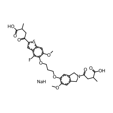 COc1cc2c(cc1OCCCOc1c(OC)cc3sc(C(=O)CC(C)C(=O)O)cc3c1F)CN(C(=O)CC(C)C(=O)O)C2.[NaH]